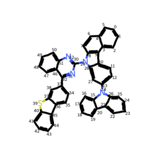 c1ccc2c(c1)ccc1c2c2ccc(-n3c4ccccc4c4ccccc43)cc2n1-c1nc(-c2ccc3c(c2)sc2ccccc23)c2ccccc2n1